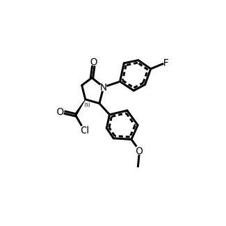 COc1ccc(C2[C@@H](C(=O)Cl)CC(=O)N2c2ccc(F)cc2)cc1